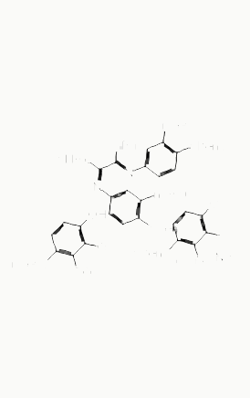 CCCCCCC(=Nc1ccc(CCCCC)c(CCCCC)c1)C(CCCC)=Nc1ccc(CCCCC)c(CCCCC)c1.CCCCCc1ccc(O)c(O)c1C(=O)[O-].CCCCCc1ccc(O)c(O)c1C(=O)[O-].[Ni+2]